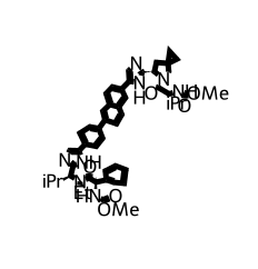 CCN(C(=O)[C@H](NC(=O)OC)c1ccccc1)[C@H](c1ncc(-c2ccc(-c3ccc4cc(-c5cnc([C@@H]6CC7(CC7)CN6C(=O)[C@@H](NC(=O)OC)C(C)C)[nH]5)ccc4c3)cc2)[nH]1)C(C)C